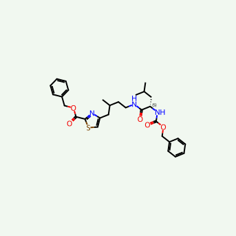 CC(C)C[C@H](NC(=O)OCc1ccccc1)C(=O)NCCC(C)Cc1csc(C(=O)OCc2ccccc2)n1